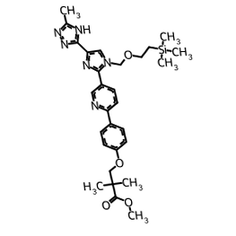 COC(=O)C(C)(C)COc1ccc(-c2ccc(-c3nc(-c4nnc(C)[nH]4)cn3COCC[Si](C)(C)C)cn2)cc1